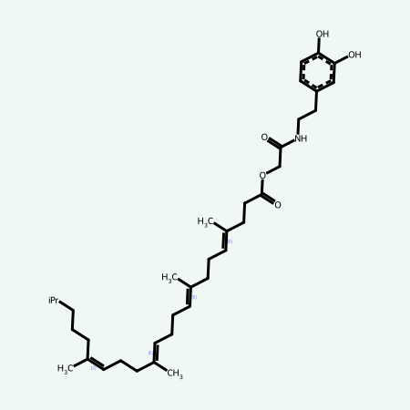 C/C(=C/CC/C(C)=C/CC/C=C(\C)CC/C=C(\C)CCC(=O)OCC(=O)NCCc1ccc(O)c(O)c1)CCCC(C)C